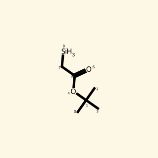 CC(C)(C)OC(=O)C[SiH3]